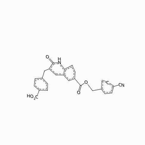 N#Cc1ccc(COC(=O)c2ccc3[nH]c(=O)c(Cc4ccc(C(=O)O)cc4)cc3c2)cc1